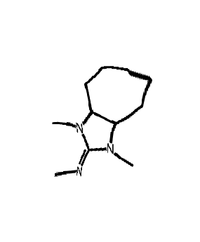 CN=C1N(C)C2CCCCCC2N1C